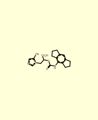 CCOC(=O)C(Cn1cncc1C#N)OC(=O)Nc1c2c(cc3c1CCC3)CCC2